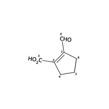 O=CC1=C(C(=O)O)CCC1